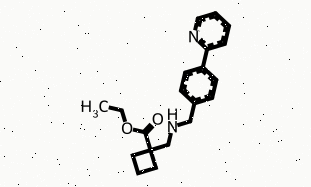 CCOC(=O)C1(CNCc2ccc(-c3ccccn3)cc2)CCC1